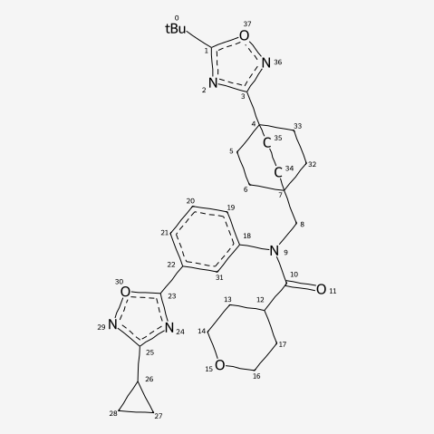 CC(C)(C)c1nc(C23CCC(CN(C(=O)C4CCOCC4)c4cccc(-c5nc(C6CC6)no5)c4)(CC2)CC3)no1